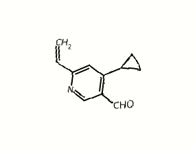 C=Cc1cc(C2CC2)c(C=O)cn1